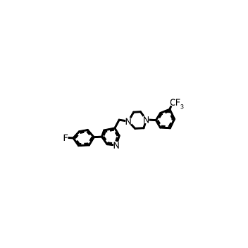 Fc1ccc(-c2cncc(CN3CCN(c4cccc(C(F)(F)F)c4)CC3)c2)cc1